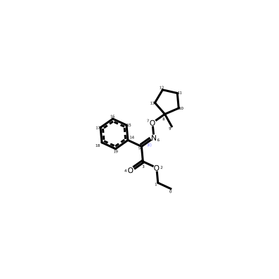 CCOC(=O)/C(=N/OC1(C)CCCC1)c1ccccc1